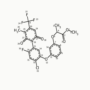 COC(=O)C(C)Oc1cccc(Oc2cc(-n3c(=O)cc(C(F)(F)F)n(C)c3=O)c(F)cc2Cl)c1